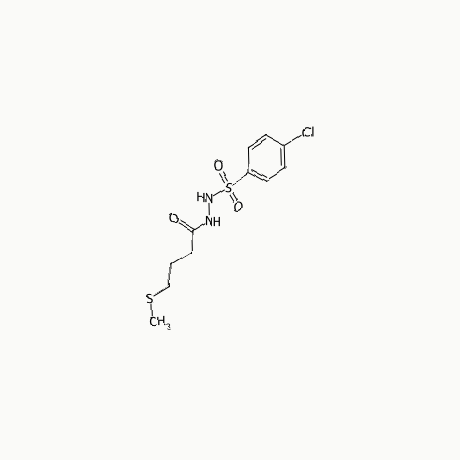 CSCCCC(=O)NNS(=O)(=O)c1ccc(Cl)cc1